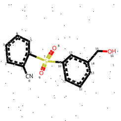 N#Cc1ccccc1S(=O)(=O)c1cccc(CO)c1